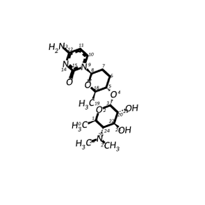 C[C@H]1O[C@H](O[C@H]2CC[C@H](n3ccc(N)nc3=O)O[C@@H]2C)[C@H](O)[C@@H](O)[C@@H]1N(C)C